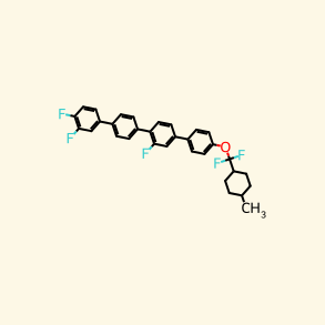 CC1CCC(C(F)(F)Oc2ccc(-c3ccc(-c4ccc(-c5ccc(F)c(F)c5)cc4)c(F)c3)cc2)CC1